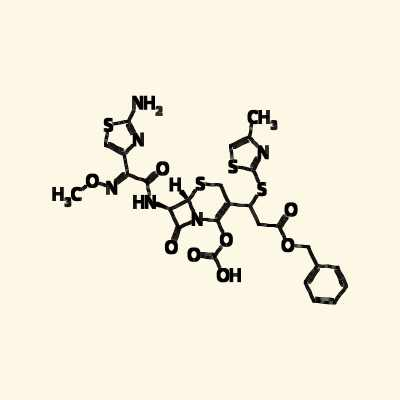 CON=C(C(=O)N[C@@H]1C(=O)N2C(OC(=O)O)=C(C(CC(=O)OCc3ccccc3)Sc3nc(C)cs3)CS[C@@H]12)c1csc(N)n1